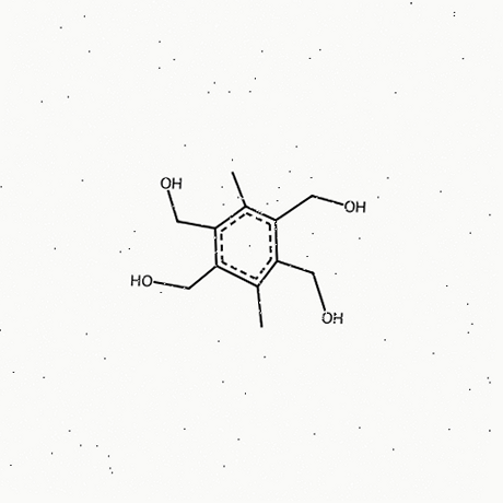 Cc1c(CO)c(CO)c(C)c(CO)c1CO